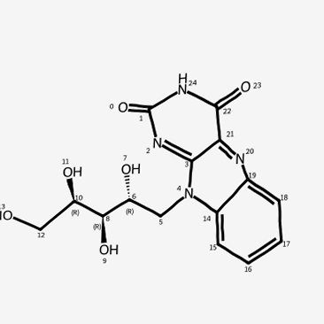 O=c1nc2n(C[C@@H](O)[C@@H](O)[C@H](O)CO)c3ccccc3nc-2c(=O)[nH]1